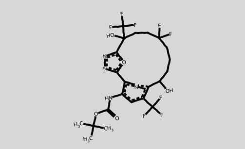 CC(C)(C)OC(=O)Nc1cc(C(F)(F)F)c2nc1-c1nnc(o1)C(O)(C(F)(F)F)CCC(F)(F)CCCC2O